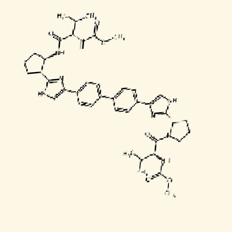 COC(=O)N[C@H](C(=O)N[C@@H]1CCC[C@H]1c1nc(-c2ccc(-c3ccc(-c4c[nH]c([C@@H]5CCCN5C(=O)[C@@H](NC(=O)OC)C(C)C)n4)cc3)cc2)c[nH]1)C(C)C